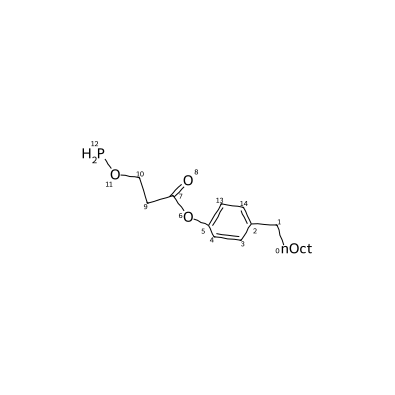 CCCCCCCCCc1ccc(OC(=O)CCOP)cc1